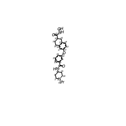 CC(C)N1CCC(NC(=O)c2cc(Oc3ccc4c(c3)CCC(C(=O)NO)C4)ccn2)CC1